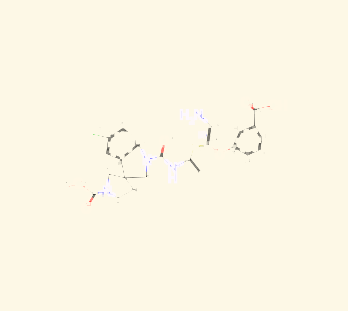 C=C(NC(=O)N1CC2(CCN(C(=O)OC)C2)c2cc(Cl)ccc21)S/C(=C\N)Oc1cccc(C(=O)O)c1